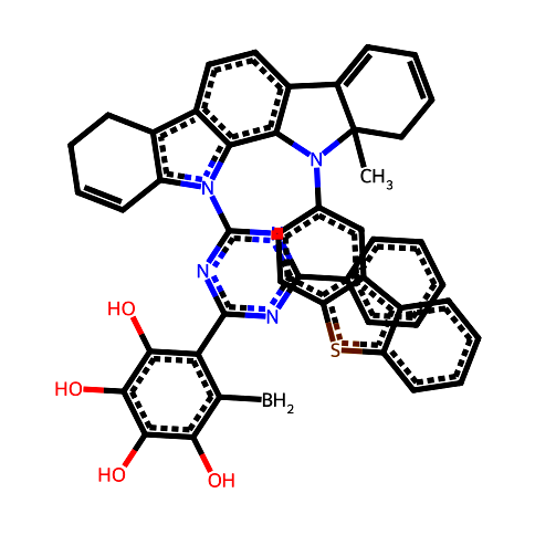 Bc1c(O)c(O)c(O)c(O)c1-c1nc(-c2ccccc2)nc(-n2c3c(c4ccc5c(c42)N(c2ccc4sc6ccccc6c4c2)C2(C)CC=CC=C52)CCC=C3)n1